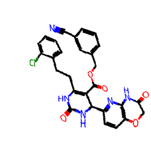 N#Cc1cccc(COC(=O)C2=C(CCc3ccccc3Cl)NC(=O)NC2c2ccc3c(n2)NC(=O)CO3)c1